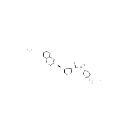 COc1ccc2cc(C#Cc3cncc(C(=O)N=S(C)(=O)c4ccc(NC(C)=O)cc4)c3)ccc2c1